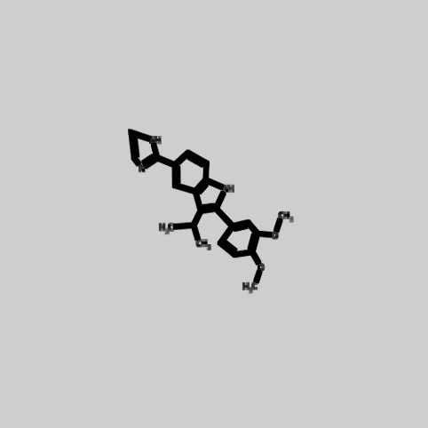 COc1ccc(-c2[nH]c3ccc(-c4ncc[nH]4)cc3c2C(C)C)cc1OC